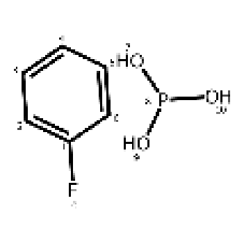 Fc1ccccc1.OP(O)O